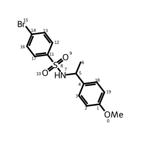 COc1ccc(C(C)NS(=O)(=O)c2ccc(Br)cc2)cc1